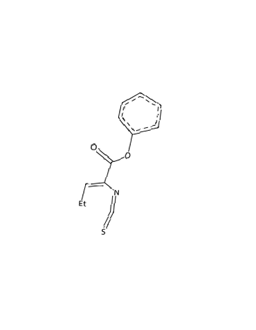 CC/C=C(\N=C=S)C(=O)Oc1ccccc1